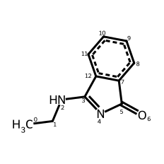 CCNC1=NC(=O)c2ccccc21